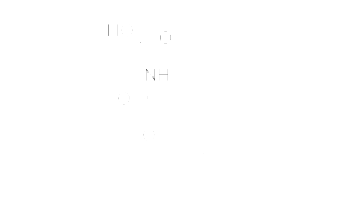 O=C(O)CNC(=O)COc1ccc2ccccc2c1